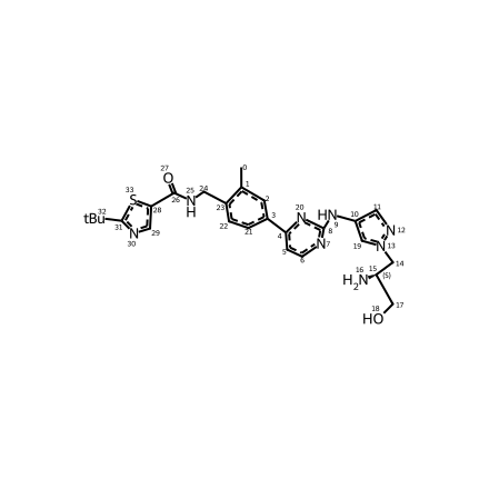 Cc1cc(-c2ccnc(Nc3cnn(C[C@H](N)CO)c3)n2)ccc1CNC(=O)c1cnc(C(C)(C)C)s1